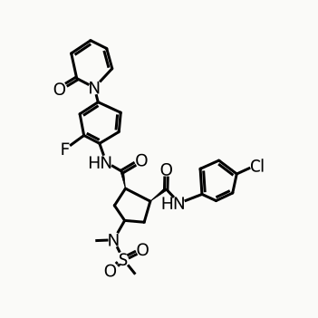 CN(C1C[C@H](C(=O)Nc2ccc(Cl)cc2)[C@H](C(=O)Nc2ccc(-n3ccccc3=O)cc2F)C1)S(C)(=O)=O